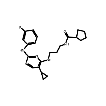 O=C(NCCCNc1nc(Nc2cccc(F)c2)ncc1C1CC1)C1CCCC1